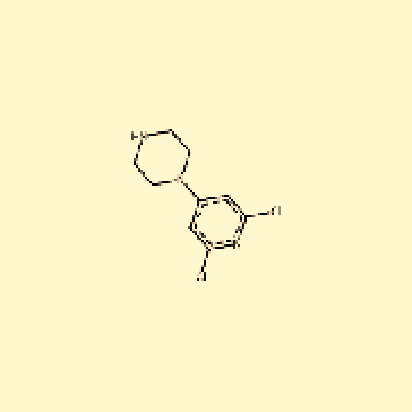 Clc1cc(N2CCNCC2)cc(Cl)n1